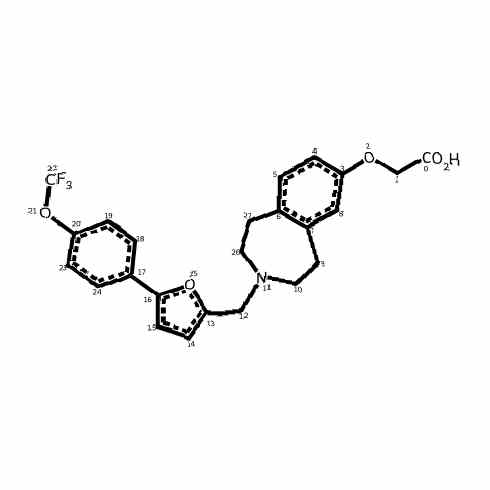 O=C(O)COc1ccc2c(c1)CCN(Cc1ccc(-c3ccc(OC(F)(F)F)cc3)o1)CC2